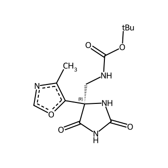 Cc1ncoc1[C@@]1(CNC(=O)OC(C)(C)C)NC(=O)NC1=O